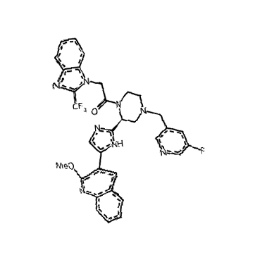 COc1nc2ccccc2cc1-c1cnc([C@@H]2CN(Cc3cncc(F)c3)CCN2C(=O)Cn2c(C(F)(F)F)nc3ccccc32)[nH]1